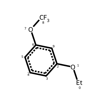 CCOc1c[c]cc(OC(F)(F)F)c1